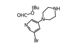 Brc1cncc(N2CCNCC2)c1.CC(C)(C)OC=O